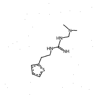 CN(C)CNC(=N)NCCc1cccs1